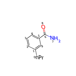 CCCc1cccc(C(N)=O)c1